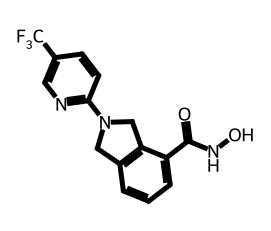 O=C(NO)c1cccc2c1CN(c1ccc(C(F)(F)F)cn1)C2